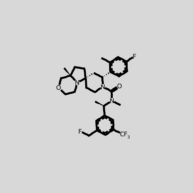 Cc1cc(F)ccc1[C@H]1C[C@@]2(CCN1C(=O)N(C)[C@H](C)c1cc(CF)cc(C(F)(F)F)c1)CC[C@@]1(C)COCCN12